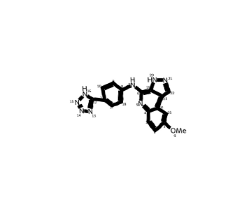 COc1ccc2nc(Nc3ccc(-c4nnn[nH]4)cc3)c3[nH]ncc3c2c1